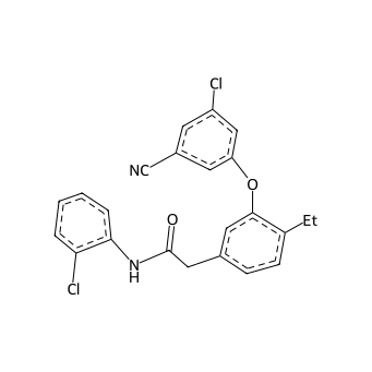 CCc1ccc(CC(=O)Nc2ccccc2Cl)cc1Oc1cc(Cl)cc(C#N)c1